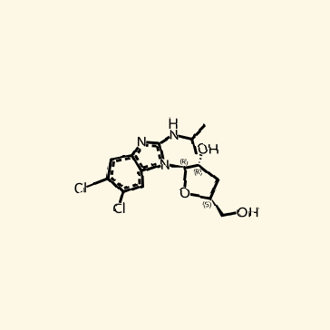 CC(C)Nc1nc2cc(Cl)c(Cl)cc2n1[C@@H]1O[C@H](CO)C[C@H]1O